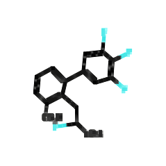 CCCCCCCCC(F)Cc1c(C(=O)O)cccc1-c1cc(F)c(F)c(F)c1